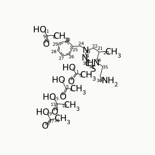 CC(=O)O.CC(=O)O.CC(=O)O.CC(=O)O.CC(=O)O.CC(CN(Cc1ccccc1)N=C=S)NCCN